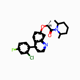 CC1CCCC(C)N1C(=O)[C@@H](C)Oc1ccc2c(-c3ccc(F)cc3Cl)ccnc2c1